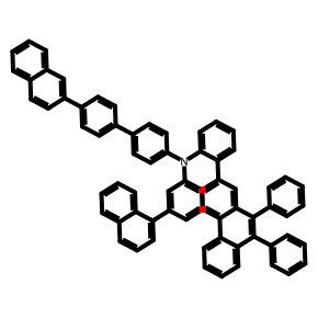 c1ccc(-c2c(-c3ccccc3)c3cc(-c4ccccc4N(c4ccc(-c5ccc(-c6ccc7ccccc7c6)cc5)cc4)c4cccc(-c5cccc6ccccc56)c4)ccc3c3ccccc23)cc1